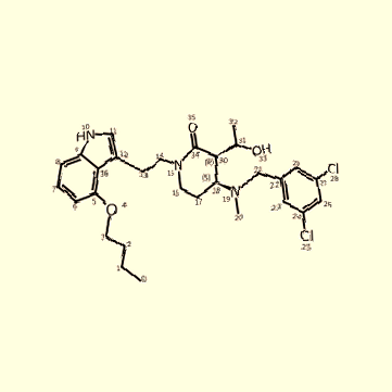 CCCCOc1cccc2[nH]cc(CCN3CC[C@H](N(C)Cc4cc(Cl)cc(Cl)c4)[C@H](C(C)O)C3=O)c12